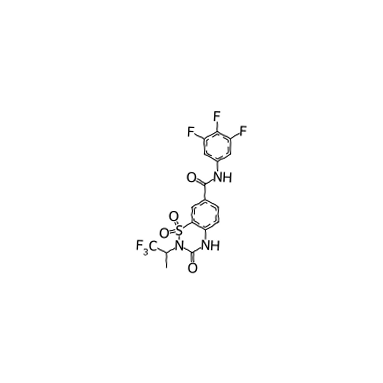 CC(N1C(=O)Nc2ccc(C(=O)Nc3cc(F)c(F)c(F)c3)cc2S1(=O)=O)C(F)(F)F